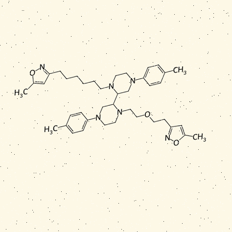 Cc1ccc(N2CCN(CCCCCCc3cc(C)on3)C(C3CN(c4ccc(C)cc4)CCN3CCOCCc3cc(C)on3)C2)cc1